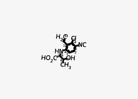 [C-]#[N+]c1ccc(N[C@@H](C(=O)O)C(C)O)c(C=C)c1Cl